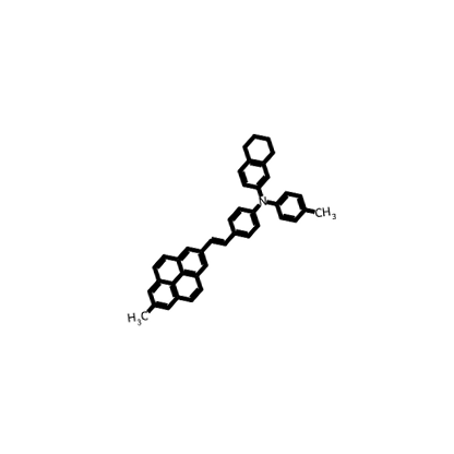 Cc1ccc(N(c2ccc(C=Cc3cc4ccc5cc(C)cc6ccc(c3)c4c56)cc2)c2ccc3c(c2)CCCC3)cc1